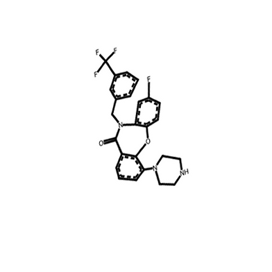 O=C1c2cccc(N3CCNCC3)c2Oc2ccc(F)cc2N1Cc1cccc(C(F)(F)F)c1